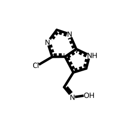 O/N=C\c1c[nH]c2ncnc(Cl)c12